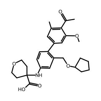 COc1cc(-c2ccc(NC3(C(=O)O)CCOCC3)cc2COC2CCCC2)cc(C)c1C(C)=O